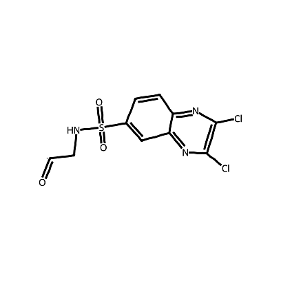 O=[C]CNS(=O)(=O)c1ccc2nc(Cl)c(Cl)nc2c1